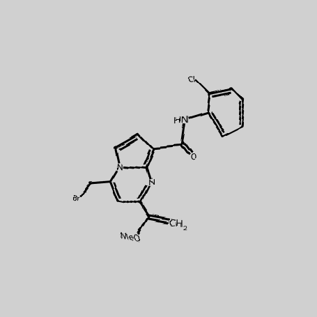 C=C(OC)c1cc(CBr)n2ccc(C(=O)Nc3ccccc3Cl)c2n1